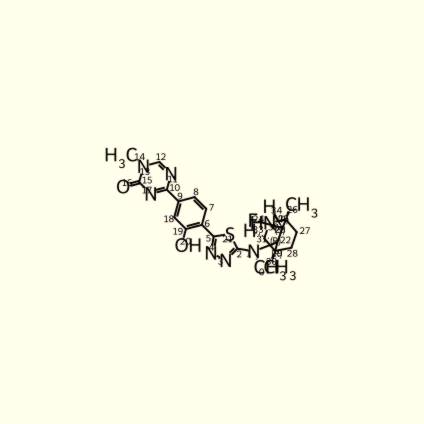 CN(c1nnc(-c2ccc(-c3ncn(C)c(=O)n3)cc2O)s1)[C@H]1[C@H](F)[C@@]2(C)CC[C@]1(C)CN2